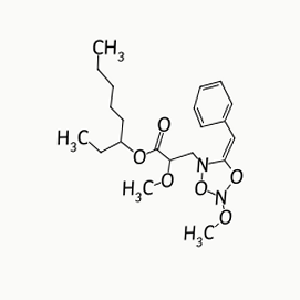 CCCCCC(CC)OC(=O)C(CN1ON(OC)OC1=Cc1ccccc1)OC